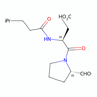 CC(C)CCC(=O)N[C@@H](CC(=O)O)C(=O)N1CCC[C@H]1[C]=O